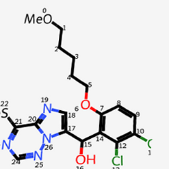 COCCCCCOc1ccc(Cl)c(Cl)c1C(O)c1cnc2c(SC)ncnn12